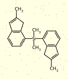 CC1=Cc2cccc([Si](C)(C)c3cccc4c3CC(C)=C4)c2C1